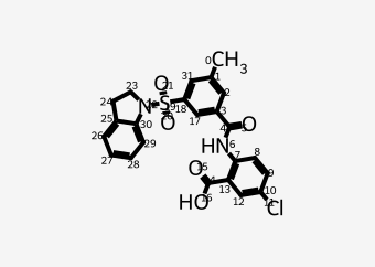 Cc1cc(C(=O)Nc2ccc(Cl)cc2C(=O)O)cc(S(=O)(=O)N2CCc3ccccc32)c1